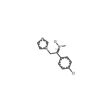 C/[N+]([O-])=C(/Cn1ccnc1)c1ccc(Cl)cc1